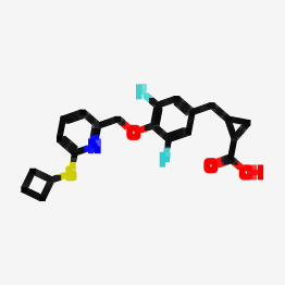 O=C(O)C1CC1Cc1cc(F)c(OCc2cccc(SC3CCC3)n2)c(F)c1